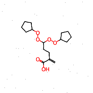 C=C(CCC(OOC1CCCC1)OOC1CCCC1)C(=O)O